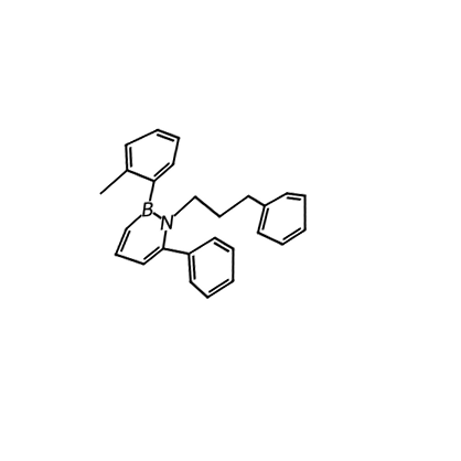 Cc1ccccc1B1C=CC=C(c2ccccc2)N1CCCc1ccccc1